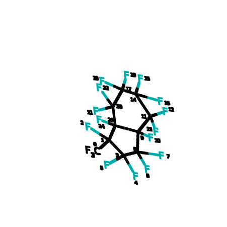 FC(F)(F)C1(F)C(F)(F)C(F)(F)C2(F)C(F)(F)C(F)(F)C(F)(F)C(F)(F)C12F